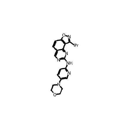 CC(C)c1noc2ccc3cnc(Nc4ccc(N5CCOCC5)cn4)nc3c12